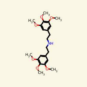 COc1cc(CCNCCc2cc(OC)c(OC)c(OC)c2)cc(OC)c1OC